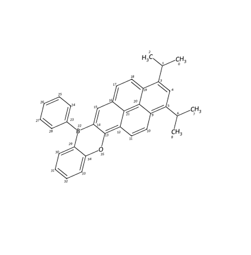 CC(C)c1cc(C(C)C)c2ccc3c4c(cc5ccc1c2c53)B(c1ccccc1)c1ccccc1O4